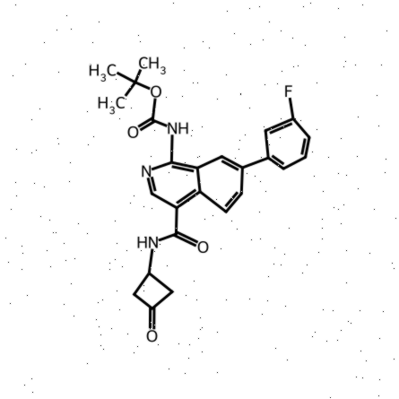 CC(C)(C)OC(=O)Nc1ncc(C(=O)NC2CC(=O)C2)c2ccc(-c3cccc(F)c3)cc12